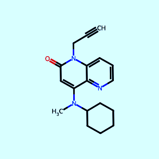 C#CCn1c(=O)cc(N(C)C2CCCCC2)c2ncccc21